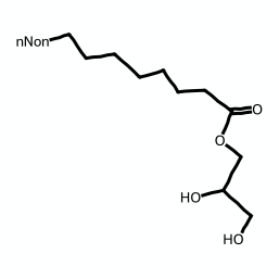 [CH2]CCCCCCCCCCCCCCCC(=O)OCC(O)CO